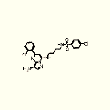 Bc1cnn2c(NCCCCNS(=O)(=O)c3ccc(Cl)cc3)cc(-c3ccccc3Cl)nc12